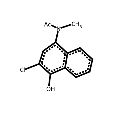 CC(=O)N(C)c1cc(Cl)c(O)c2ccccc12